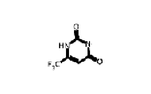 O=C1C=C(C(F)(F)F)NC(=O)[N]1